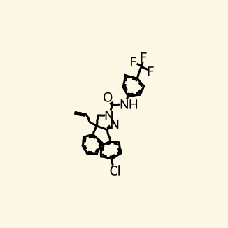 C=CCC1(c2ccccc2)CN(C(=O)Nc2ccc(C(F)(F)F)cc2)N=C1c1ccc(Cl)cc1